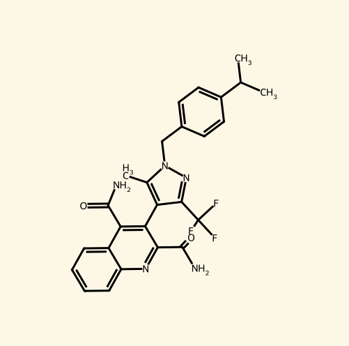 Cc1c(-c2c(C(N)=O)nc3ccccc3c2C(N)=O)c(C(F)(F)F)nn1Cc1ccc(C(C)C)cc1